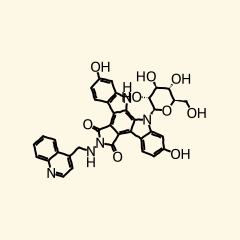 O=C1c2c(c3c4ccc(O)cc4n([C@@H]4O[C@H](CO)[C@@H](O)[C@H](O)[C@H]4O)c3c3[nH]c4cc(O)ccc4c23)C(=O)N1NCc1ccnc2ccccc12